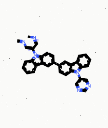 C=N/C=C(\C=N/C)n1c2ccccc2c2cc(-c3ccc4c(c3)c3ccccc3n4-c3cncnc3)ccc21